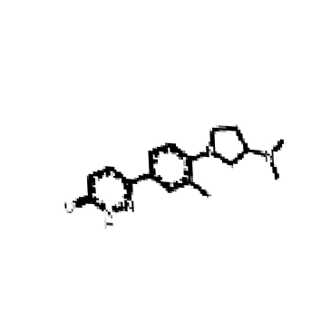 Cc1cc(-c2ccc(=O)[nH]n2)ccc1N1CC[C@@H](N(C)C)C1